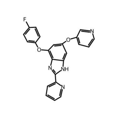 Fc1ccc(Oc2cc(Oc3cccnc3)cc3[nH]c(-c4ccccn4)nc23)cc1